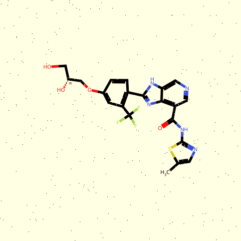 Cc1cnc(NC(=O)c2cncc3[nH]c(-c4ccc(OC[C@H](O)CO)cc4C(F)(F)F)nc23)s1